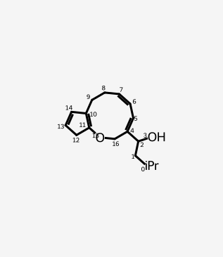 CC(C)CC(O)/C1=C/C=C\CCC2=C(CC=C2)OC1